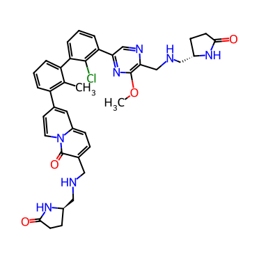 COc1nc(-c2cccc(-c3cccc(-c4ccn5c(=O)c(CNC[C@H]6CCC(=O)N6)ccc5c4)c3C)c2Cl)cnc1CNC[C@@H]1CCC(=O)N1